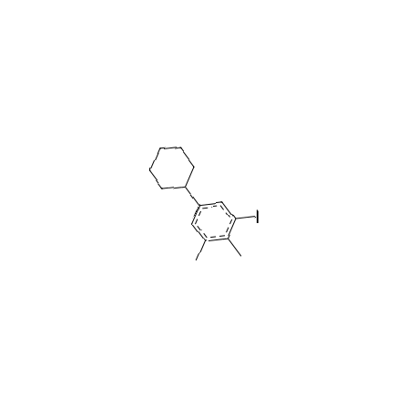 Cc1cc(C2CCCCC2)cc(I)c1C